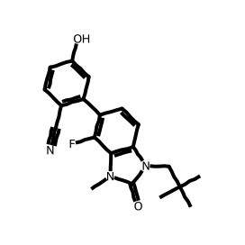 Cn1c(=O)n(CC(C)(C)C)c2ccc(-c3cc(O)ccc3C#N)c(F)c21